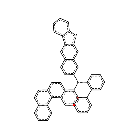 c1ccc(-c2ccccc2N(c2ccc3cc4c(cc3c2)sc2ccccc24)c2cccc3c2ccc2ccc4ccccc4c23)cc1